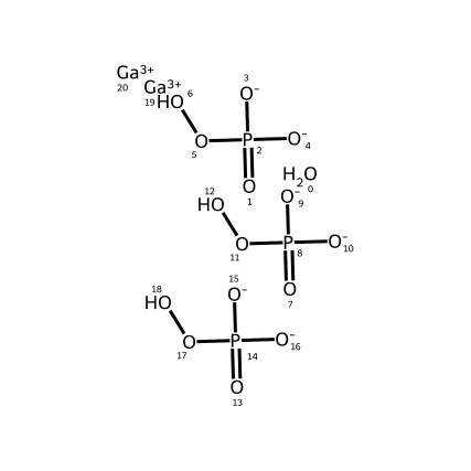 O.O=P([O-])([O-])OO.O=P([O-])([O-])OO.O=P([O-])([O-])OO.[Ga+3].[Ga+3]